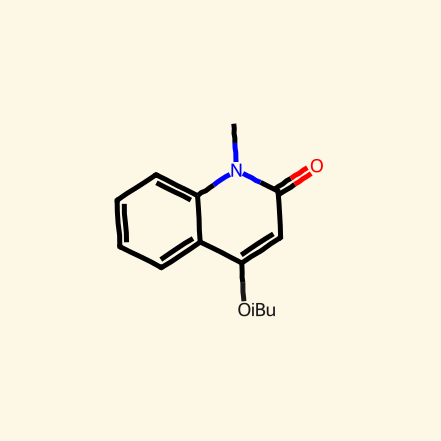 CC(C)COc1cc(=O)n(C)c2ccccc12